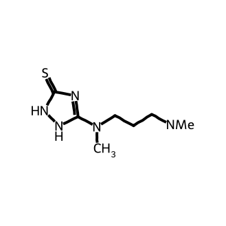 CNCCCN(C)c1nc(=S)[nH][nH]1